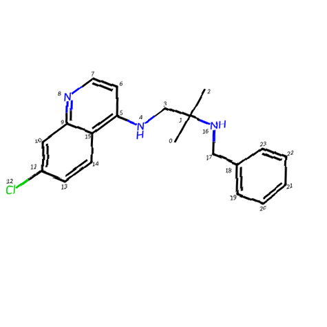 CC(C)(CNc1ccnc2cc(Cl)ccc12)NCc1ccccc1